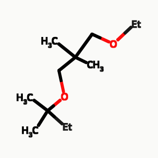 CCOCC(C)(C)COC(C)(C)CC